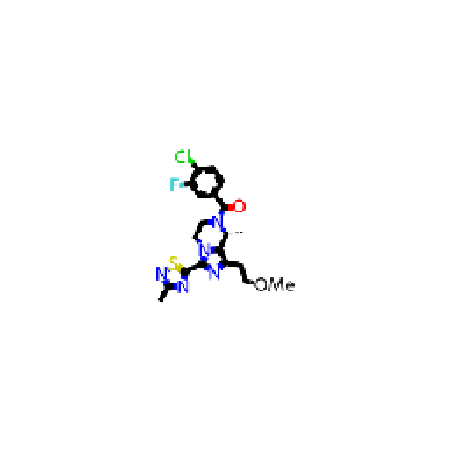 COCCc1nc(-c2nc(C)ns2)n2c1[C@@H](C)N(C(=O)c1ccc(Cl)c(F)c1)CC2